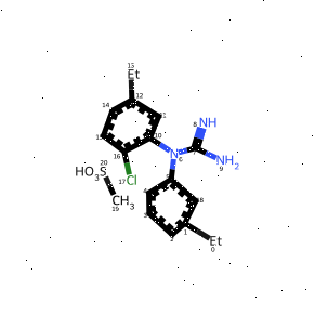 CCc1cccc(N(C(=N)N)c2cc(CC)ccc2Cl)c1.CS(=O)(=O)O